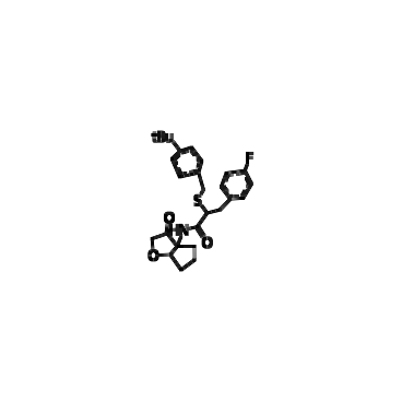 CC(C)(C)c1ccc(CSC(Cc2ccc(F)cc2)C(=O)NC23CCCC2OCC3=O)cc1